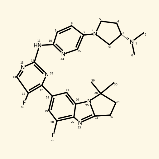 CN(C)[C@H]1CCN(c2ccc(Nc3ncc(F)c(-c4cc(F)c5nc6n(c5c4)C(C)(C)CC6)n3)nc2)C1